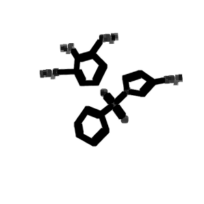 Cc1c(C(=O)O)cccc1C(=O)O.O=C(O)c1ccn(S(=O)(=O)c2ccccc2)c1